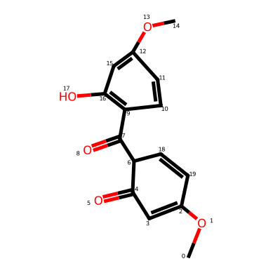 COC1=CC(=O)C(C(=O)c2ccc(OC)cc2O)C=C1